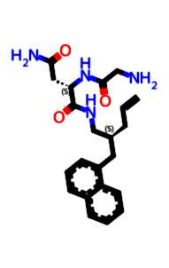 C=CC[C@H](CNC(=O)[C@H](CC(N)=O)NC(=O)CN)Cc1cccc2ccccc12